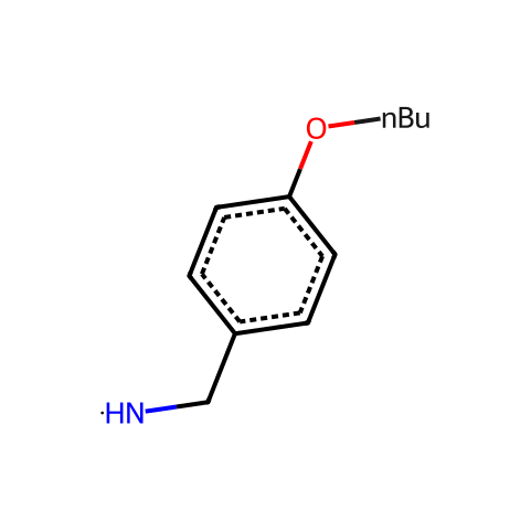 CCCCOc1ccc(C[NH])cc1